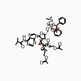 CC(=O)OCCOC(OCCOC(C)=O)OC1[C@@H](OP(C)N(C(C)C)C(C)C)[C@@H](CO[Si](OC(c2ccccc2)c2ccccc2)(O[Si](C)(C)C)O[Si](C)(C)C)O[C@H]1n1cnc2c(NC(=O)C(C)C)ncnc21